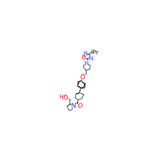 CC(C)c1noc(N2CCC(COc3ccc(C4=CCC(C(=O)N5CCCC5CO)CC4)cc3)CC2)n1